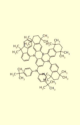 CC(C)(C)c1ccc(N(c2ccc(C(C)(C)C)cc2)c2cc3c4c(c2)N(c2cccc5c2-c2ccccc2C5(C)C)c2cc5c(cc2B4c2cc4c(cc2N3c2ccc3c(c2)C(C)(C)CCC3(C)C)C(C)(C)CCC4(C)C)C(C)(C)CCC5(C)C)cc1